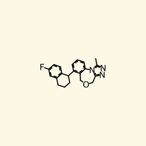 Cc1nnc2n1-c1cccc(C3CCCc4cc(F)ccc43)c1COC2